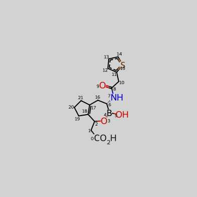 O=C(O)CC1OB(O)[C@@H](NC(=O)Cc2cccs2)CC2=C1CCC2